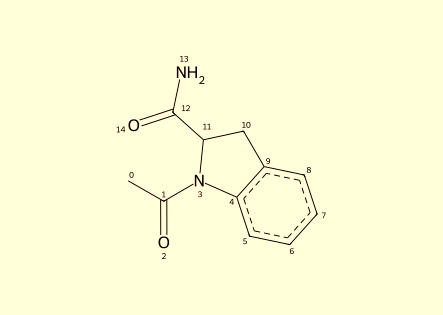 CC(=O)N1c2ccccc2CC1C(N)=O